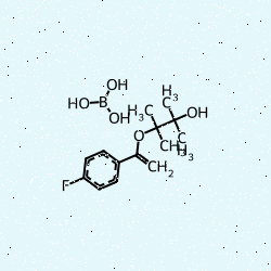 C=C(OC(C)(C)C(C)(C)O)c1ccc(F)cc1.OB(O)O